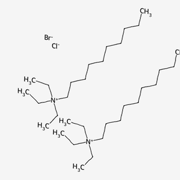 CCCCCCCCCC[N+](CC)(CC)CC.CCCCCCCCCC[N+](CC)(CC)CC.[Br-].[Cl-]